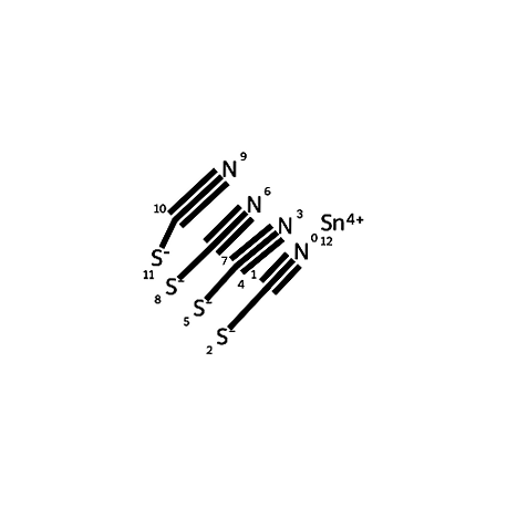 N#C[S-].N#C[S-].N#C[S-].N#C[S-].[Sn+4]